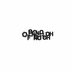 O=c1ccn([C@@H]2O[C@H](CO)C(O)[C@@H]2O)c(=O)n1CC(F)(F)c1ccccc1